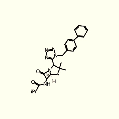 CC(C)C(=O)NC1C(=O)N2C(c3nnnn3Cc3ccc(-c4ccccc4)cc3)C(C)(C)S[C@@H]12